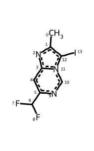 Cc1nc2cc(C(F)F)ncn2c1I